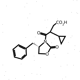 O=C(O)CC(C(=O)N1C(=O)OC[C@@H]1Cc1ccccc1)C1CC1